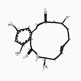 C[C@@H]1C/C=C/CCC(Cl)CC(=O)Cc2cc(O)cc(O)c2C(=O)O1